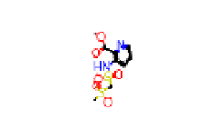 COC(=O)c1ncccc1NS(=O)(=O)CS(C)(=O)=O